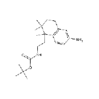 CC(C)(C)OC(=O)NCCC1(C)c2ccc(N)cc2CCC1(C)C